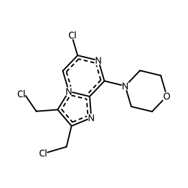 ClCc1nc2c(N3CCOCC3)nc(Cl)cn2c1CCl